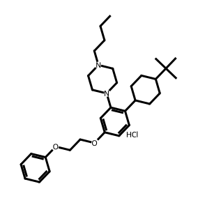 CCCCN1CCN(c2cc(OCCOc3ccccc3)ccc2C2CCC(C(C)(C)C)CC2)CC1.Cl